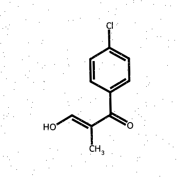 CC(=CO)C(=O)c1ccc(Cl)cc1